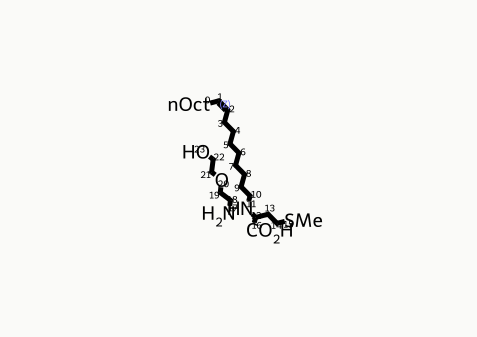 CCCCCCCC/C=C\CCCCCCCCNC(CCSC)C(=O)O.NCCOCCO